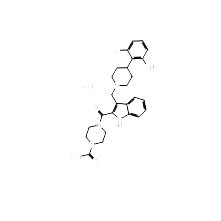 Cc1cccc(C)c1C1CCN(Cc2c(C(=O)N3CCN(C(=O)C(C)(C)C)CC3)[nH]c3ccccc23)CC1.Cl